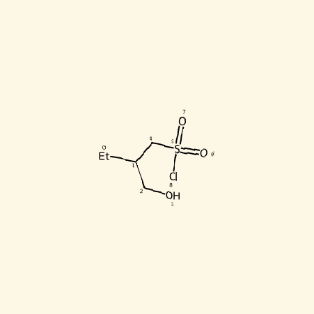 CCC(CO)CS(=O)(=O)Cl